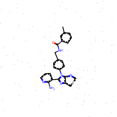 Cc1cccc(C(=O)NCc2ccc(-n3c(-c4cccnc4N)nc4cccnc43)cc2)c1